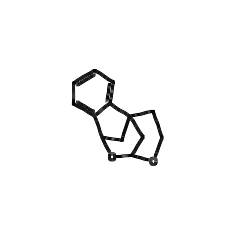 c1ccc2c(c1)C1CC23CCOC(C3)O1